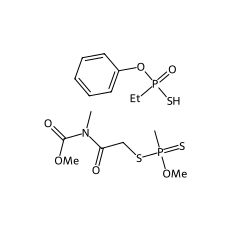 CCP(=O)(S)Oc1ccccc1.COC(=O)N(C)C(=O)CSP(C)(=S)OC